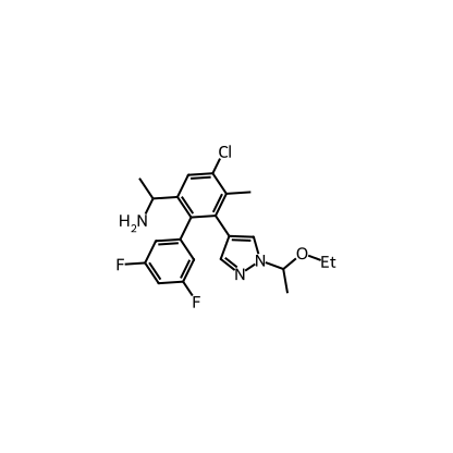 CCOC(C)n1cc(-c2c(C)c(Cl)cc(C(C)N)c2-c2cc(F)cc(F)c2)cn1